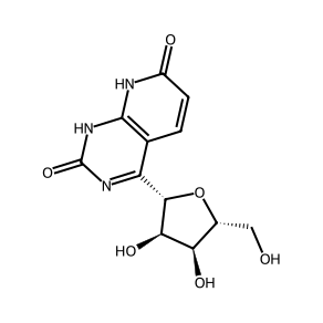 O=c1ccc2c([C@@H]3O[C@H](CO)[C@@H](O)[C@H]3O)nc(=O)[nH]c2[nH]1